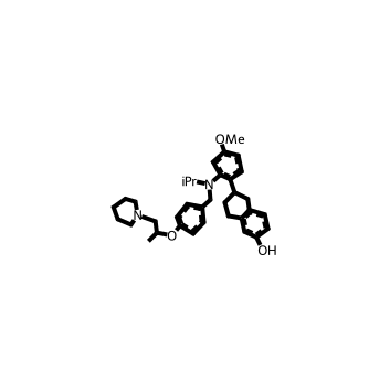 COc1ccc(C2CCc3cc(O)ccc3C2)c(N(Cc2ccc(OC(C)CN3CCCCC3)cc2)C(C)C)c1